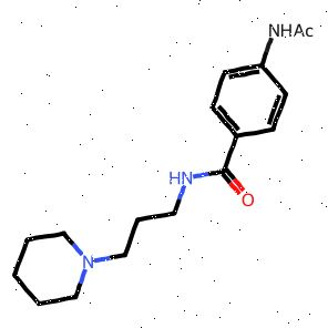 CC(=O)Nc1ccc(C(=O)NCCCN2CCCCC2)cc1